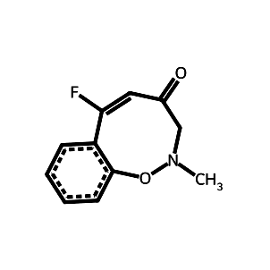 CN1CC(=O)/C=C(/F)c2ccccc2O1